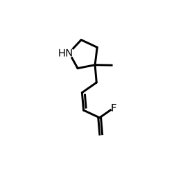 C=C(F)/C=C\CC1(C)CCNC1